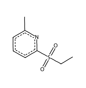 CCS(=O)(=O)c1cccc(C)n1